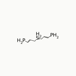 PC=CC[SiH2]CC=CP